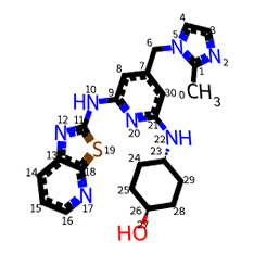 Cc1nccn1Cc1cc(Nc2nc3cccnc3s2)nc(N[C@H]2CC[C@H](O)CC2)c1